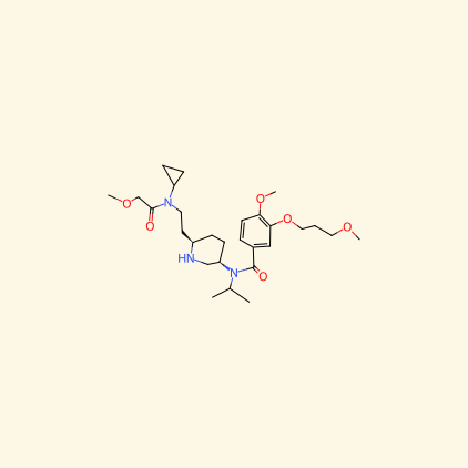 COCCCOc1cc(C(=O)N(C(C)C)[C@@H]2CC[C@H](CCN(C(=O)COC)C3CC3)NC2)ccc1OC